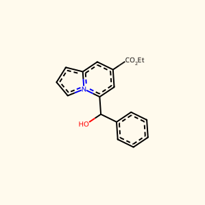 CCOC(=O)c1cc(C(O)c2ccccc2)n2cccc2c1